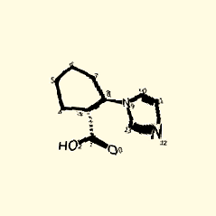 O=C(O)[C@@H]1CCCC[C@H]1n1ccnc1